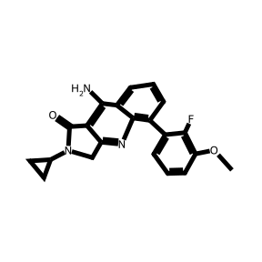 COc1cccc(-c2cccc3c(N)c4c(nc23)CN(C2CC2)C4=O)c1F